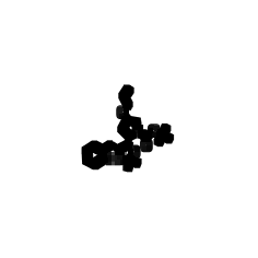 C=CCOC1CC([C@H]2OC(C)(C)N[C@H]2Cc2ccccc2)N(C(=O)OC(C)(C)C)C1